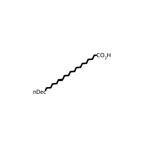 CCCCCCCCCCCCCCC=CCCCCCCCCCCCC(=O)O